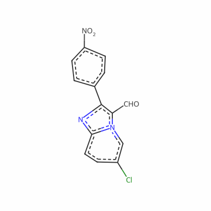 O=Cc1c(-c2ccc([N+](=O)[O-])cc2)nc2ccc(Cl)cn12